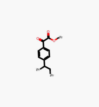 CC(C)CC(c1ccc(C(=O)C(=O)OC(C)C)cc1)C(C)C